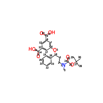 CN(CCC(Oc1cc(C(=O)O)cc(C(=O)O)c1)c1ccccc1)C(=O)OC(C)(C)C